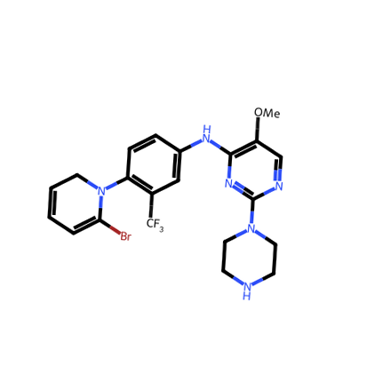 COc1cnc(N2CCNCC2)nc1Nc1ccc(N2CC=CC=C2Br)c(C(F)(F)F)c1